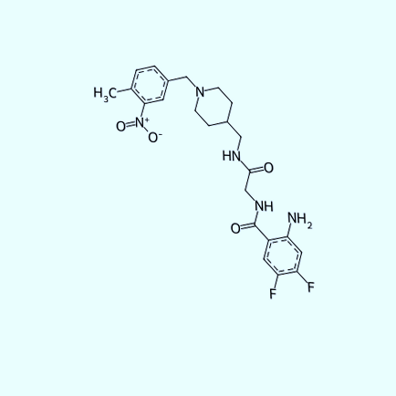 Cc1ccc(CN2CCC(CNC(=O)CNC(=O)c3cc(F)c(F)cc3N)CC2)cc1[N+](=O)[O-]